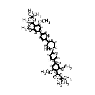 COc1cc(-c2ccc(C3CCCN(c4ccc(-c5cc(OC)c(C(=O)OC(C)(C)C)c(OC)c5)cn4)NC3)nc2)cc(OC)c1C(=O)OC(C)(C)C